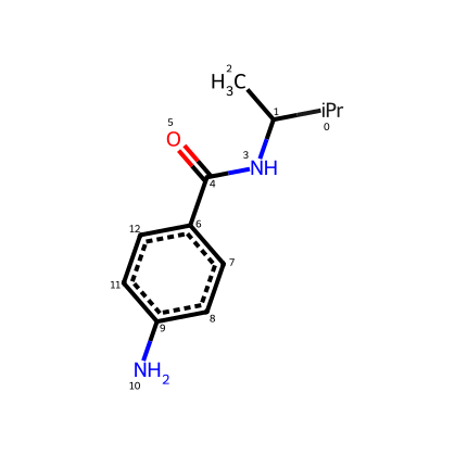 CC(C)C(C)NC(=O)c1ccc(N)cc1